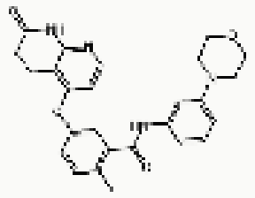 Cc1ccc(Oc2ccnc3c2CCC(=O)N3)cc1C(=O)Nc1cccc(N2CCOCC2)c1